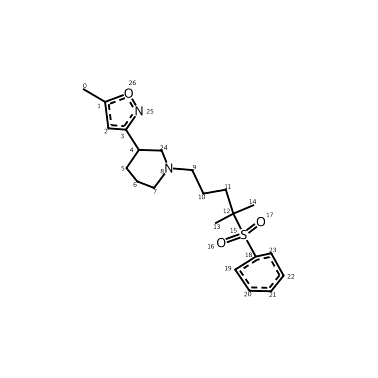 Cc1cc(C2CCCN(CCCC(C)(C)S(=O)(=O)c3ccccc3)C2)no1